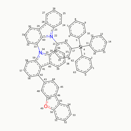 c1ccc([Si](c2ccccc2)(c2ccccc2)c2cccc(-n3c4ccccc4c4cccc(-n5c6ccccc6c6c(-c7ccc8c(c7)oc7ccccc78)cccc65)c43)c2)cc1